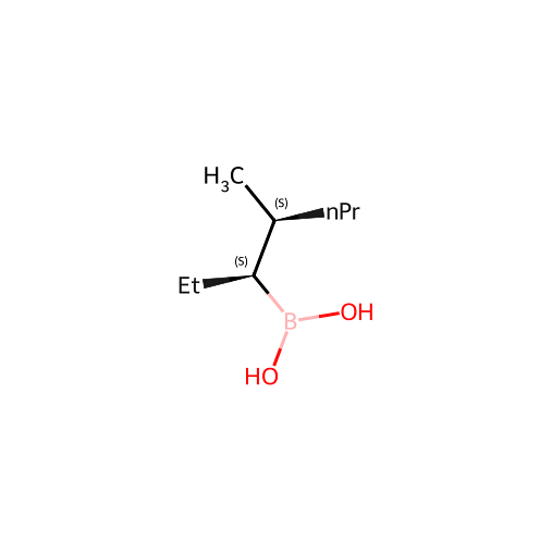 CCC[C@H](C)[C@H](CC)B(O)O